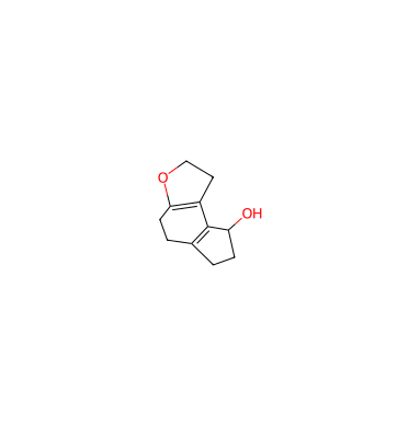 OC1CCC2=C1C1=C(CC2)OCC1